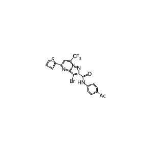 CC(=O)c1ccc(NC(=O)c2nn3c(C(F)(F)F)cc(-c4cccs4)nc3c2Br)cc1